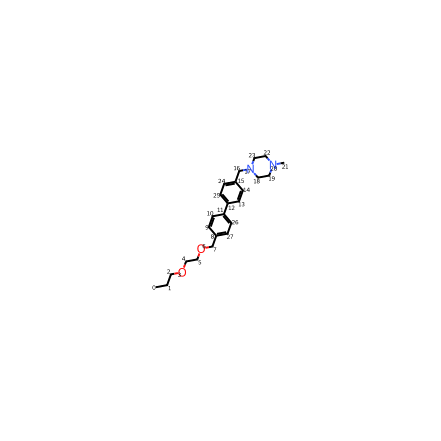 CCCOCCOCc1ccc(-c2ccc(CN3CCN(C)CC3)cc2)cc1